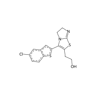 OCCC1=C(c2cc3cc(Cl)ccc3s2)N2CCN=C2S1